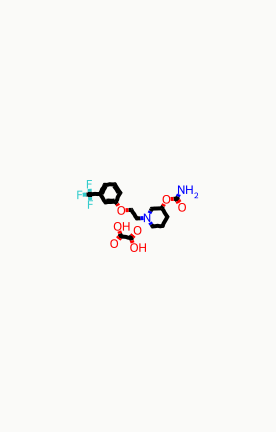 NC(=O)OC1CCCN(CCOc2cccc(C(F)(F)F)c2)C1.O=C(O)C(=O)O